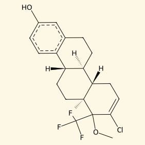 COC1(C(F)(F)F)C(Cl)=CC[C@H]2[C@@H]3CCc4cc(O)ccc4[C@H]3CC[C@@]21C